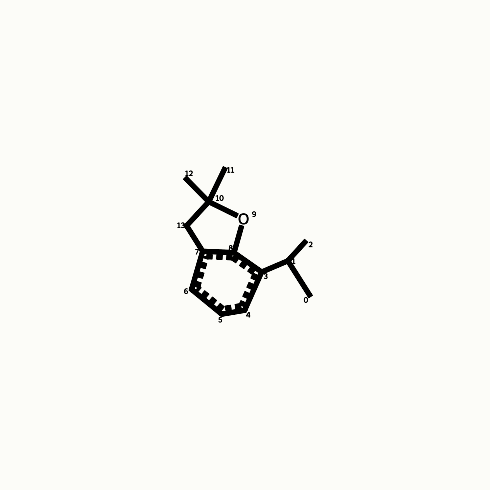 CC(C)c1cccc2c1OC(C)(C)C2